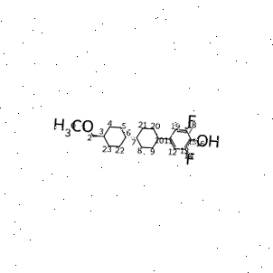 COC[C@H]1CC[C@H](C2CCC(c3cc(F)c(O)c(F)c3)CC2)CC1